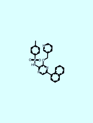 Cc1ccc(S(=O)(=O)Nc2ncc(-c3cccc4ccccc34)nc2OCc2cccnc2)cc1